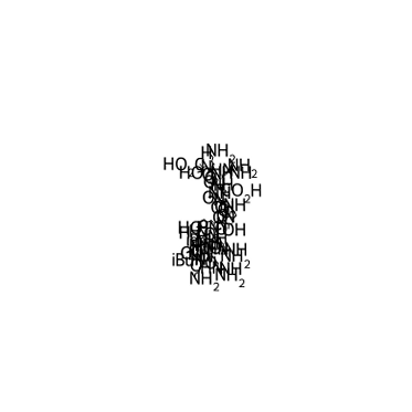 CC[C@H](C)[C@H](NC(=O)[C@H](CC(C)C)NC(=O)[C@H](C)N)C(=O)N[C@@H](CCCCN)C(=O)N[C@@H](CCCNC(=N)N)C(=O)N[C@@H](CC(N)=O)C(=O)N[C@@H](CCCNC(=N)N)C(=O)N[C@@H](Cc1ccc(O)cc1)C(=O)N[C@H](C(=O)N1CCC[C@H]1C(=O)N[C@@H](CCC(=O)O)C(=O)N[C@H](C(=O)NCC(=O)N[C@@H](CCCNC(=N)N)C(=O)N[C@@H](CCCCN)C(=O)N[C@@H](CO)C(=O)O)[C@@H](C)O)[C@@H](C)O